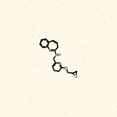 C1=Cc2ccccc2N=C(NCC2=CCCC(OCC3CO3)=N2)C1